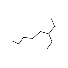 C[CH]C(CC)CCCCC